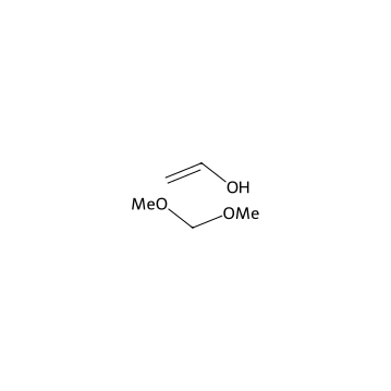 C=CO.COCOC